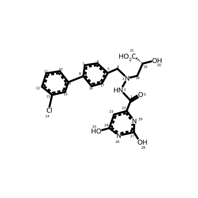 O=C(NN(Cc1ccc(-c2cccc(Cl)c2)cc1)C[C@@H](O)C(=O)O)c1cc(O)nc(O)n1